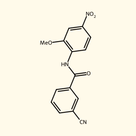 COc1cc([N+](=O)[O-])ccc1NC(=O)c1cccc(C#N)c1